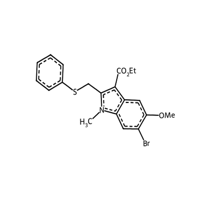 CCOC(=O)c1c(CSc2ccccc2)n(C)c2cc(Br)c(OC)cc12